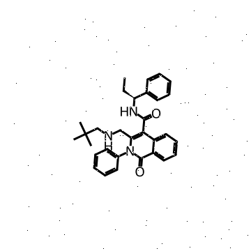 CC[C@H](NC(=O)c1c(CNCC(C)(C)C)n(-c2ccccc2)c(=O)c2ccccc12)c1ccccc1